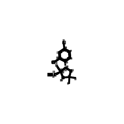 CC1(C)O[C@@H](c2ccc(Cl)cc2Cl)[C@](C)(C(=O)O)O1